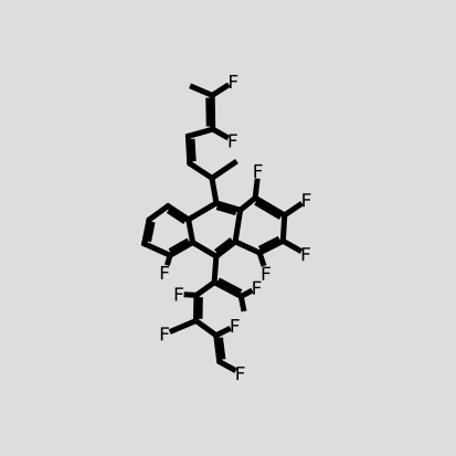 C/C(F)=C(F)\C=C/C(C)c1c2cccc(F)c2c(C(/C(F)=C(F)\C(F)=C\F)=C(/C)F)c2c(F)c(F)c(F)c(F)c12